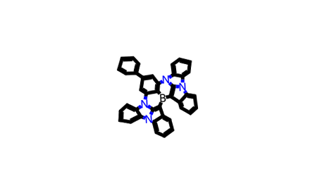 c1ccc(-c2cc3c4c(c2)-n2c5ccccc5n5c6ccccc6c(c25)B4c2c4ccccc4n4c5ccccc5n-3c24)cc1